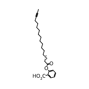 CC#CCCCCCCCCCCCSCC(=O)Oc1ccccc1C(=O)O